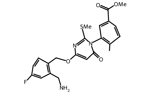 COC(=O)c1ccc(C)c(-n2c(SC)nc(OCc3ccc(F)cc3CN)cc2=O)c1